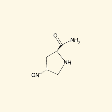 NC(=O)[C@@H]1C[C@@H](N=O)CN1